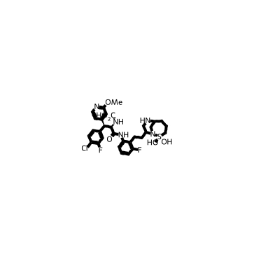 COc1cc([C@H](c2ccc(Cl)c(F)c2)[C@@H](NC(=O)O)C(=O)Nc2cccc(F)c2CCC2CNC3CCCS(O)(O)N2C3)ccn1